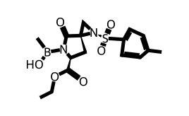 CCOC(=O)[C@@H]1C[C@]2(C[N@]2S(=O)(=O)c2ccc(C)cc2)C(=O)N1B(C)O